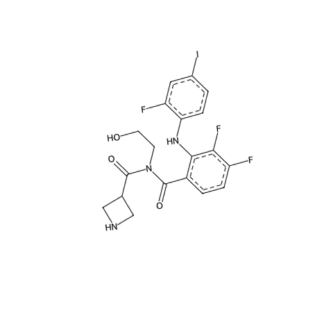 O=C(c1ccc(F)c(F)c1Nc1ccc(I)cc1F)N(CCO)C(=O)C1CNC1